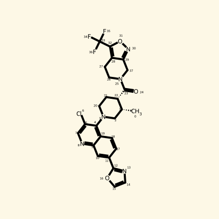 C[C@@H]1CN(c2c(Cl)cnc3cc(-c4ncco4)ccc23)CC[C@@H]1C(=O)N1CCc2c(noc2C(F)(F)F)C1